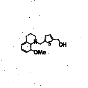 COc1cccc2c1N(Cc1ccc(CO)s1)CCC2